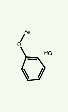 Cl.[Fe][O]c1ccccc1